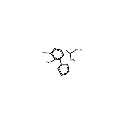 CCOC(=O)C(C)N.COc1cccc(-c2ccccc2)c1OC